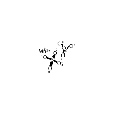 O=S(=O)([O-])[O-].[Cl][Co]([Cl])[Cl].[Mn+2]